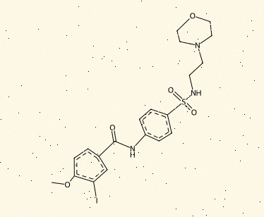 COc1ccc(C(=O)Nc2ccc(S(=O)(=O)NCCN3CCOCC3)cc2)cc1I